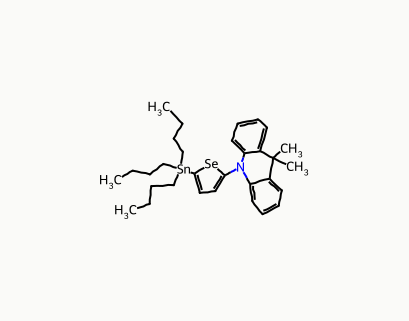 CCC[CH2][Sn]([CH2]CCC)([CH2]CCC)[c]1ccc(N2c3ccccc3C(C)(C)c3ccccc32)[se]1